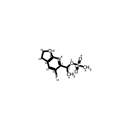 CC(OS(C)(=O)=O)c1nc2c(cc1F)CCO2